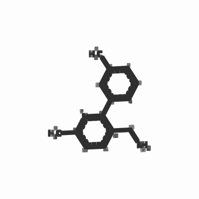 Cc1cccc(-c2nc(C)ccc2CN)c1